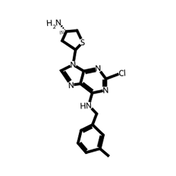 Cc1cccc(CNc2nc(Cl)nc3c2ncn3C2C[C@H](N)CS2)c1